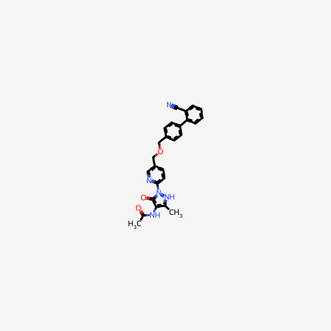 CC(=O)Nc1c(C)[nH]n(-c2ccc(COCc3ccc(-c4ccccc4C#N)cc3)cn2)c1=O